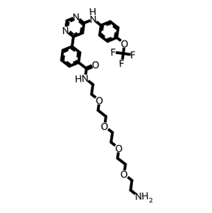 NCCOCCOCCOCCOCCNC(=O)c1cccc(-c2cc(Nc3ccc(OC(F)(F)F)cc3)ncn2)c1